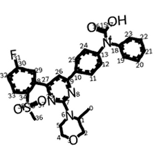 CC1COCCN1c1nc(-c2ccc(N(C(=O)O)c3ccccc3)cc2)cc(-c2cc(F)ccc2S(C)(=O)=O)n1